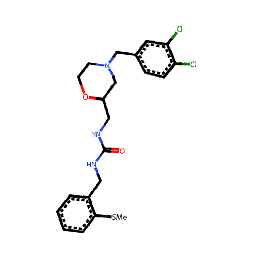 CSc1ccccc1CNC(=O)NCC1CN(Cc2ccc(Cl)c(Cl)c2)CCO1